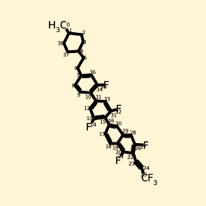 CC1CCC(CCc2ccc(-c3cc(F)c(-c4ccc5c(F)c(C#CC(F)(F)F)c(F)cc5c4)c(F)c3)c(F)c2)CC1